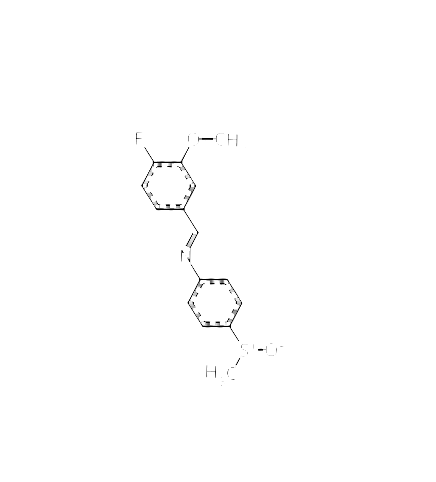 COc1cc(C=Nc2ccc([S+](C)[O-])cc2)ccc1F